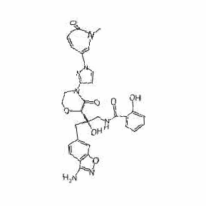 Cn1cc(-n2ccc(N3CCO[C@H](C(O)(CNC(=O)c4ccccc4O)Cc4ccc5c(N)noc5c4)C3=O)n2)ccc1=O